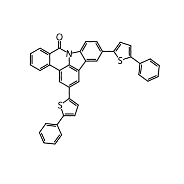 O=c1c2ccccc2c2cc(-c3ccc(-c4ccccc4)s3)cc3c4cc(-c5ccc(-c6ccccc6)s5)ccc4n1c23